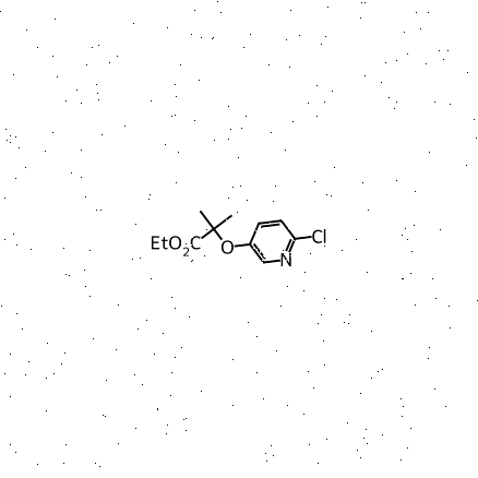 CCOC(=O)C(C)(C)Oc1ccc(Cl)nc1